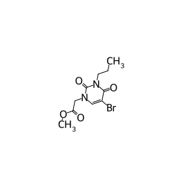 CCCn1c(=O)c(Br)cn(CC(=O)OC)c1=O